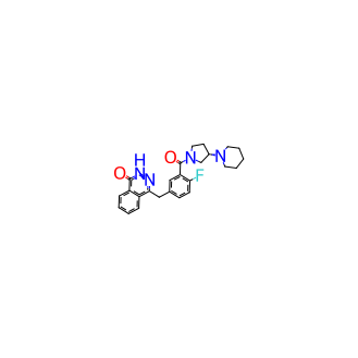 O=C(c1cc(Cc2n[nH]c(=O)c3ccccc23)ccc1F)N1CC[C@@H](N2CCCCC2)C1